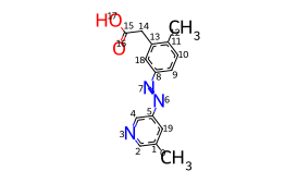 Cc1cncc(/N=N/c2ccc(C)c(CC(=O)O)c2)c1